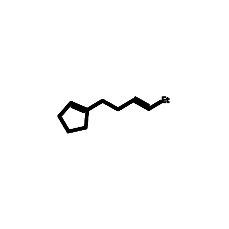 [CH2]CC=CCCC1=CCCC1